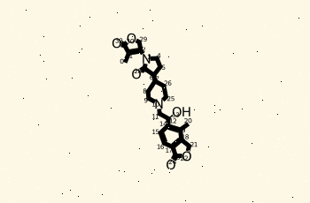 CC1=C(N2CCC(C3CCN(C[C@H](O)c4ccc5c(c4C)COC5=O)CC3)C2=O)COC1=O